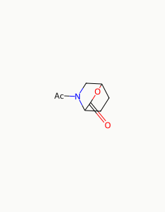 CC(=O)N1CC2CCC1C(=O)O2